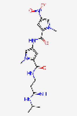 CC(C)NC(=N)CCNC(=O)c1cc(NC(=O)c2cc([N+](=O)[O-])cn2C)cn1C